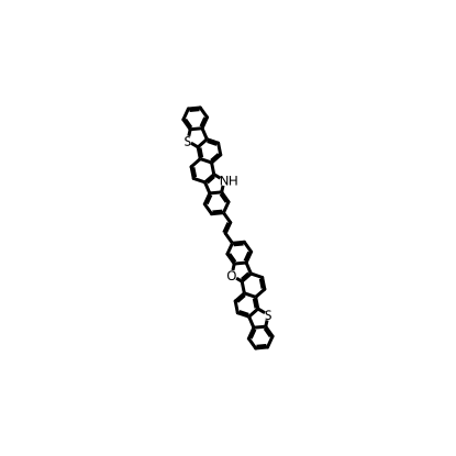 C(=C\c1ccc2c(c1)oc1c2ccc2c1ccc1c3ccccc3sc12)/c1ccc2c(c1)[nH]c1c2ccc2c1ccc1c3ccccc3sc12